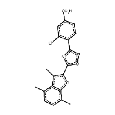 Cc1ccc(C)c2c(C)c(-c3nc(-c4ccc(C(=O)O)cc4Cl)no3)oc12